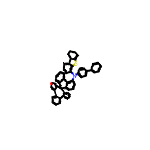 c1ccc(-c2ccc(N(c3cccc4c3-c3ccccc3C43c4ccccc4-c4ccccc4-c4ccccc43)c3cccc4c3sc3ccccc34)cc2)cc1